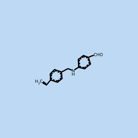 C=Cc1ccc(CNc2ccc(C=O)cc2)cc1